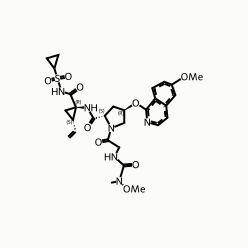 C=C[C@@H]1C[C@]1(NC(=O)[C@@H]1C[C@@H](Oc2nccc3cc(OC)ccc23)CN1C(=O)CNC(=O)N(C)OC)C(=O)NS(=O)(=O)C1CC1